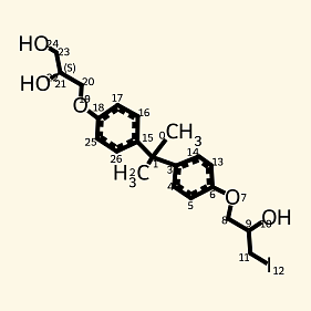 CC(C)(c1ccc(OCC(O)CI)cc1)c1ccc(OC[C@@H](O)CO)cc1